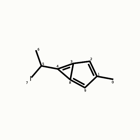 Cc1cc2c(C(C)I)c-2c1